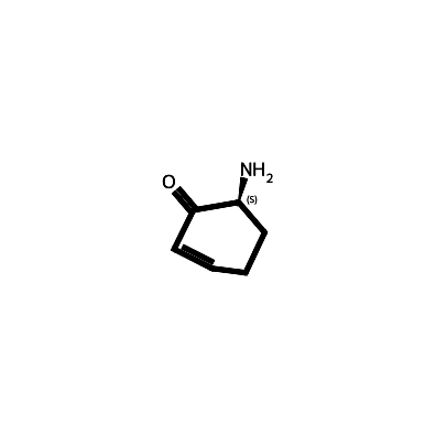 N[C@H]1CCC=CC1=O